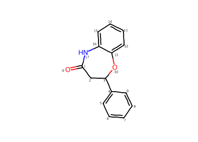 O=C1CC(c2ccccc2)Oc2ccccc2N1